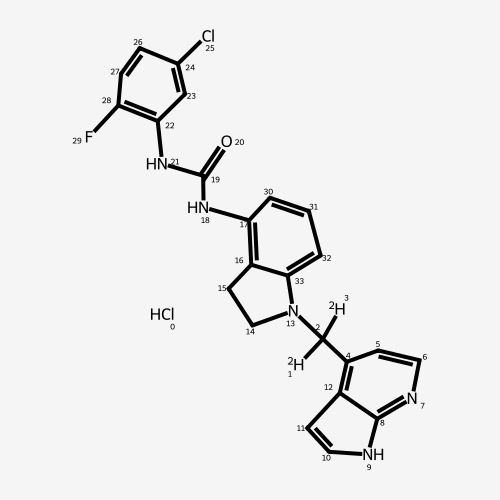 Cl.[2H]C([2H])(c1ccnc2[nH]ccc12)N1CCc2c(NC(=O)Nc3cc(Cl)ccc3F)cccc21